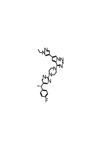 CCn1cc(-c2cc3c(N4CCN(c5ncc([C@H](C)c6ccc(F)cc6)cn5)CC4)ncnn3c2)cn1